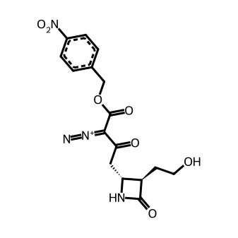 [N-]=[N+]=C(C(=O)C[C@H]1NC(=O)[C@@H]1CCO)C(=O)OCc1ccc([N+](=O)[O-])cc1